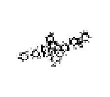 c1ccc(-c2ccc(-c3nc(-c4ccccc4)nc(-c4cccnc4-n4c5ccccc5c5cc(-c6ccc7c(c6)sc6ccccc67)ccc54)n3)cc2)cc1